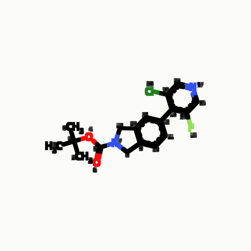 CC(C)(C)OC(=O)N1Cc2ccc(-c3c(F)cncc3Cl)cc2C1